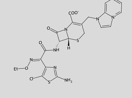 CCO/N=C(/C(=O)N[C@@H]1C(=O)N2C(C(=O)[O-])=C(Cn3cc[n+]4ccccc34)CS[C@H]12)c1nc(N)sc1Cl